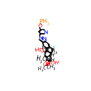 CC1(C)O[C@@H]2C[C@H]3[C@@H]4C[C@H](F)C5=Cc6nn(Cc7cncc(COCP)c7)cc6C[C@]5(C)[C@H]4[C@@H](O)C[C@]3(C)[C@]2(C(=O)CO)O1